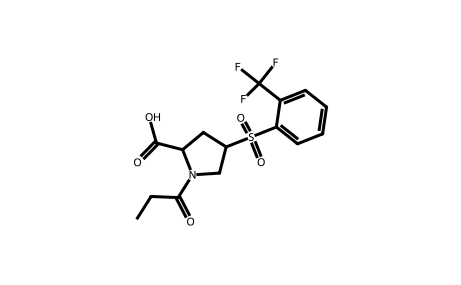 CCC(=O)N1CC(S(=O)(=O)c2ccccc2C(F)(F)F)CC1C(=O)O